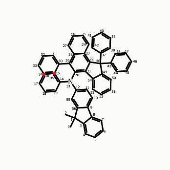 CC1(C)c2ccccc2-c2ccc(N(c3ccccc3)c3c4c(c5ccccc5c3-c3ccccc3)C(c3ccccc3)(c3ccccc3)c3ccccc3-4)cc21